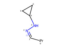 CC(C)/C=N\NC1CC1